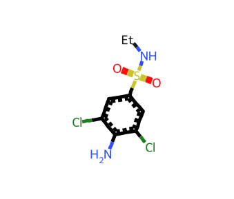 CCNS(=O)(=O)c1cc(Cl)c(N)c(Cl)c1